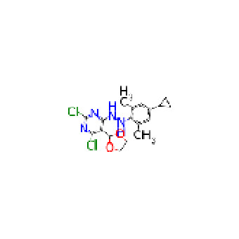 Cc1cc(C2CC2)cc(C)c1NNc1nc(Cl)nc(Cl)c1C1OCCO1